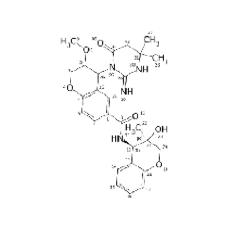 COC1COc2ccc(C(=O)N[C@@H]3c4ccccc4OC[C@]3(C)O)cc2C1N1C(=N)NC(C)(C)CC1=O